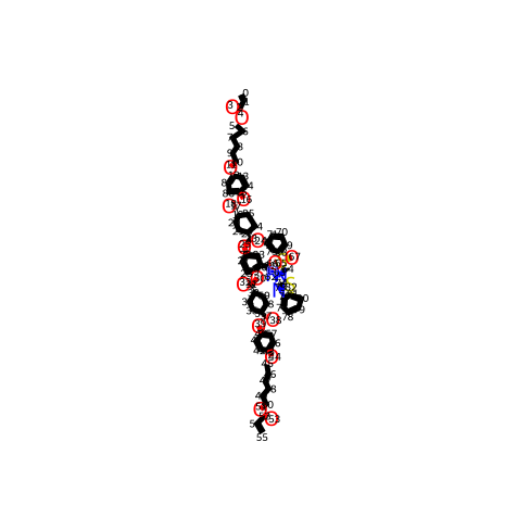 C=CC(=O)OCCCCCCOc1ccc(OC(=O)[C@H]2CC[C@H](C(=O)Oc3ccc(OC(=O)[C@H]4CC[C@H](C(=O)Oc5ccc(OCCCCCCOC(=O)C=C)cc5)CC4)c(/C=N/N(CS(=O)(=O)c4ccccc4)c4nc5ccccc5s4)c3)CC2)cc1